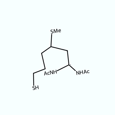 CSC(CCCS)C[C](NC(C)=O)NC(C)=O